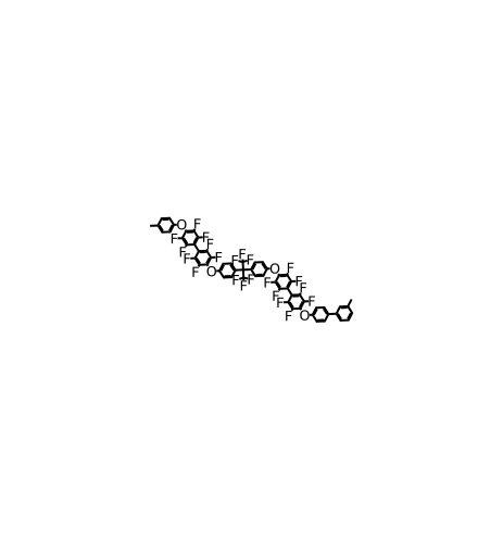 Cc1ccc(Oc2c(F)c(F)c(-c3c(F)c(F)c(Oc4ccc(C(c5ccc(Oc6c(F)c(F)c(-c7c(F)c(F)c(Oc8ccc(-c9cccc(C)c9)cc8)c(F)c7F)c(F)c6F)cc5)(C(F)(F)F)C(F)(F)F)cc4)c(F)c3F)c(F)c2F)cc1